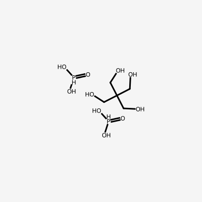 O=[PH](O)O.O=[PH](O)O.OCC(CO)(CO)CO